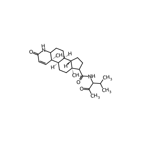 CC(=O)C(NC(=O)C1CC[C@H]2[C@@H]3CCC4NC(=O)C=C[C@]4(C)[C@@H]3CC[C@]12C)C(C)C